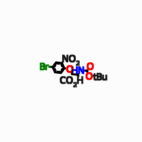 CC(C)(C)OC(=O)NC(COc1ccc(Br)cc1[N+](=O)[O-])C(=O)O